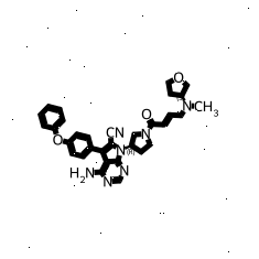 CN(CC=CC(=O)N1CC[C@@H](n2c(C#N)c(-c3ccc(Oc4ccccc4)cc3)c3c(N)ncnc32)C1)[C@H]1CCOC1